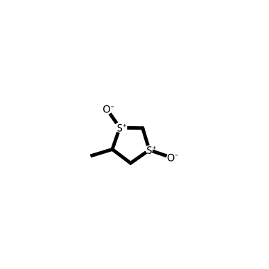 CC1C[S+]([O-])C[S+]1[O-]